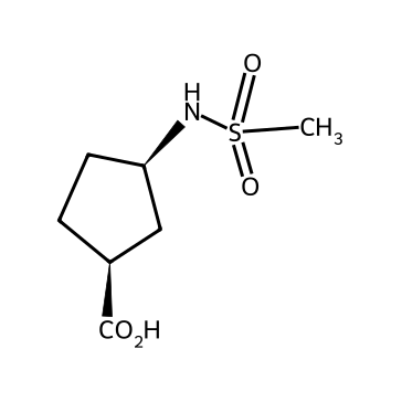 CS(=O)(=O)N[C@@H]1CC[C@H](C(=O)O)C1